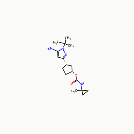 CC1(NC(=O)O[C@@H]2CC[C@H](c3cc(N)n(C(C)(C)C)n3)C2)CC1